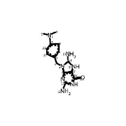 CN(C)c1ccc(CN2c3nc(N)[nH]c(=O)c3NC2N)cc1